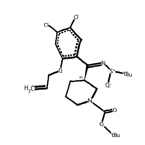 C=CCOc1cc(Cl)c(Cl)cc1C(=N[S+]([O-])C(C)(C)C)[C@@H]1CCCN(C(=O)OC(C)(C)C)C1